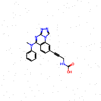 CN(c1ccccc1)c1nc2nncn2c2cc(C#CCNC(=O)O)ccc12